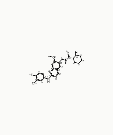 COc1cc2nc(Nc3ccc(F)c(Cl)c3)ncc2cc1CNC(=O)[C@H]1CCCCN1